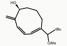 C=C1/C=C\C=C(\C(OC)C(C)(C)C)CCC[C@@H]1O